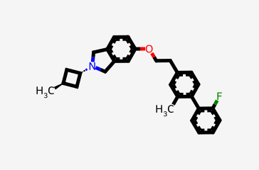 Cc1cc(CCOc2ccc3c(c2)CN([C@H]2C[C@H](C)C2)C3)ccc1-c1ccccc1F